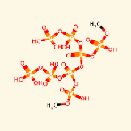 COP(=O)(O)OP(=O)(OP(=O)(O)OP(=O)(O)O)OP(=O)(OP(=O)(O)OC)OP(=O)(O)OP(=O)(O)O